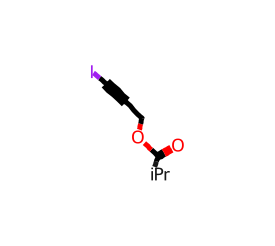 CC(C)C(=O)OCC#CI